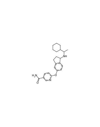 CC(NC1CCc2cc(Oc3ccc(C(N)=O)cn3)ccc21)C1CCCCC1